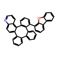 c1ccc2c(c1)-c1ccccc1-c1c(cccc1-c1cccc3c1oc1ccccc13)-c1c-2ccc2ncccc12